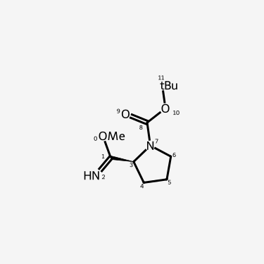 COC(=N)[C@@H]1CCCN1C(=O)OC(C)(C)C